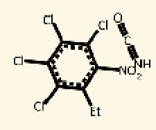 CCc1c(Cl)c(Cl)c(Cl)c(Cl)c1[N+](=O)[O-].N=C=O